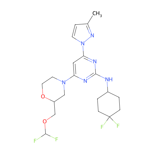 Cc1ccn(-c2cc(N3CCOC(COC(F)F)C3)nc(NC3CCC(F)(F)CC3)n2)n1